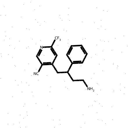 N#Cc1cnc(C(F)(F)F)cc1CC(CCN)c1ccccc1